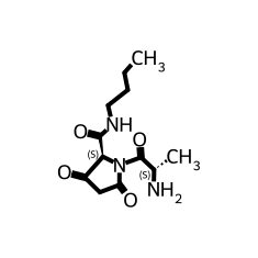 CCCCNC(=O)[C@@H]1C(=O)CC(=O)N1C(=O)[C@H](C)N